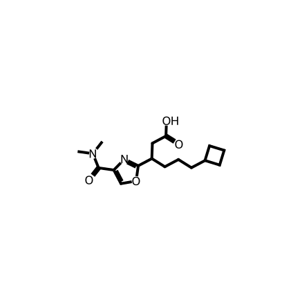 CN(C)C(=O)c1coc(C(CCCC2CCC2)CC(=O)O)n1